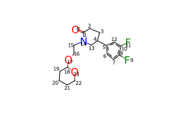 O=C1CCC(c2ccc(F)c(F)c2)CN1CCOC1CCCCO1